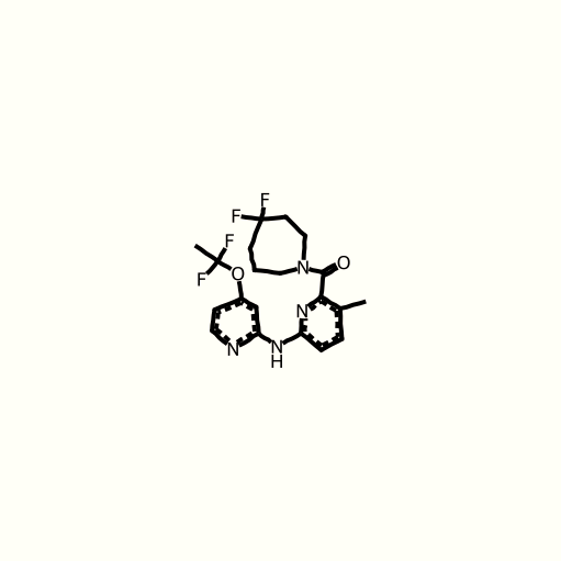 Cc1ccc(Nc2cc(OC(C)(F)F)ccn2)nc1C(=O)N1CCCC(F)(F)CC1